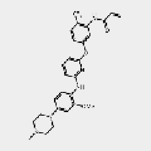 C=CC(=O)Nc1cc(Oc2cccc(Nc3ccc(N4CCN(C)CC4)cc3OC)n2)ccc1C(F)(F)F